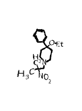 CCOC1(c2ccccc2)CCN(CC(C)(C)[N+](=O)[O-])CC1